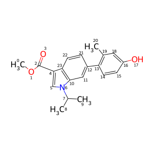 COC(=O)c1cn(C(C)C)c2cc(-c3ccc(O)cc3C)ccc12